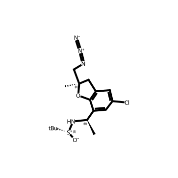 C[C@@H](N[S@+]([O-])C(C)(C)C)c1cc(Cl)cc2c1O[C@@](C)(CN=[N+]=[N-])C2